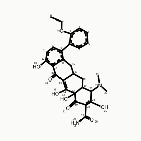 CCOc1ccccc1-c1ccc(O)c2c1CC1CC3C(N(C)C)C(O)=C(C(N)=O)C(=O)C3(O)C(O)=C1C2=O